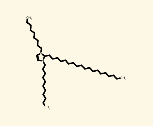 CCCCCCCCCCCCCCCCCCCC1N(CCCCCCCCC)C=CN1CCCCCCCCCCC